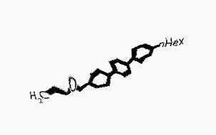 C=CCOCC1CCC(c2ccc(-c3ccc(CCCCCC)cc3)cc2)CC1